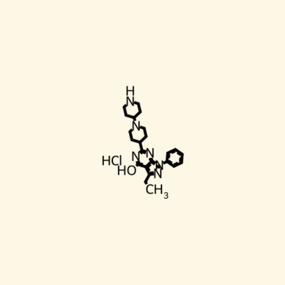 CCc1nn(-c2ccccc2)c2nc(C3CCN(C4CCNCC4)CC3)nc(O)c12.Cl